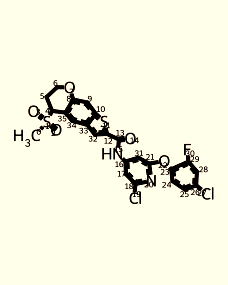 CS(=O)(=O)C1CCOc2cc3sc(C(=O)Nc4cc(Cl)nc(Oc5ccc(Cl)cc5F)c4)cc3cc21